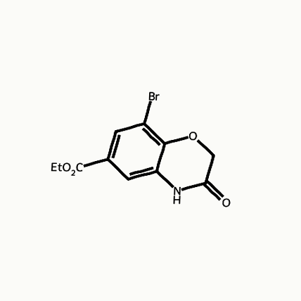 CCOC(=O)c1cc(Br)c2c(c1)NC(=O)CO2